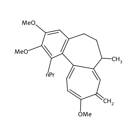 C=C1C=C2C(=CC=C1OC)c1c(cc(OC)c(OC)c1CCC)CCC2C